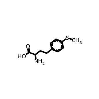 CSc1ccc(CCC(N)C(=O)O)cc1